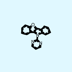 c1cnc(-n2c3ccccc3c3oc4ccccc4c32)nc1